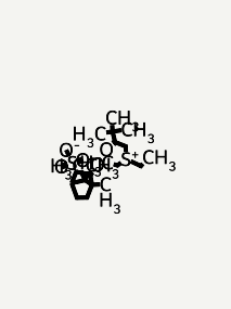 CC12CCC(C(S(=O)(=O)[O-])C1=O)C2(C)C.CC[S+](CC)CC(=O)C(C)(C)C